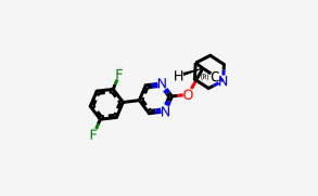 Fc1ccc(F)c(-c2cnc(O[C@H]3CN4CCC3CC4)nc2)c1